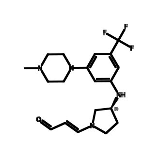 CN1CCN(c2cc(N[C@H]3CCN(C=CC=O)C3)cc(C(F)(F)F)c2)CC1